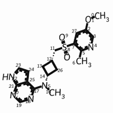 COc1cnc(C)c(S(=O)(=O)C[C@H]2C[C@@H](N(C)c3ncnc4[nH]ccc34)C2)c1